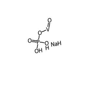 [NaH].[O]=[V][O]P(=O)(O)O